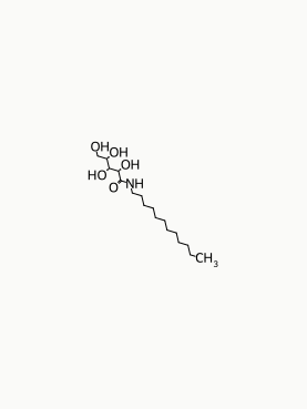 CCCCCCCCCCCCNC(=O)[C@H](O)[C@@H](O)[C@H](O)CO